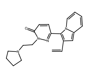 C=Cc1cc2ccccn2c1-c1ccc(=O)n(CCN2CCCC2)n1